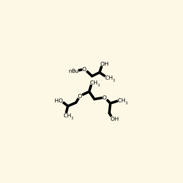 CC(O)COC(C)COC(C)CO.CCCCOCC(C)O